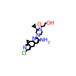 Nc1cc(Cc2ccnc(Cl)c2)c(C2CC2)nc1N1CCN(C(=O)CCO)[C@H](C2CC2)C1